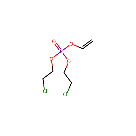 C=COP(=O)(OCCCl)OCCCl